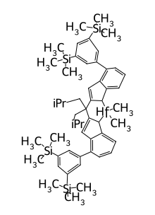 CC(C)CC1(CC(C)C)C2=Cc3c(-c4cc([Si](C)(C)C)cc([Si](C)(C)C)c4)cccc3[CH]2[Hf]([CH3])([CH3])[CH]2C1=Cc1c(-c3cc([Si](C)(C)C)cc([Si](C)(C)C)c3)cccc12